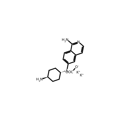 Nc1nccc2cc(S[C@H]3CC[C@H](N)CC3)ccc12.O=C([O-])[O-].[K+].[K+]